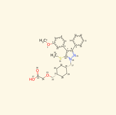 COc1cccc(-c2c(-c3ccccc3)nn(C[C@H]3CC[C@@H](COCC(=O)O)CC3)c2SC)c1